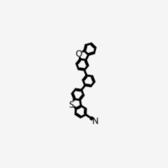 N#Cc1ccc2sc3ccc(-c4cccc(-c5ccc6oc7ccccc7c6c5)c4)cc3c2c1